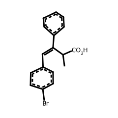 CC(C(=O)O)/C(=C\c1ccc(Br)cc1)c1ccccc1